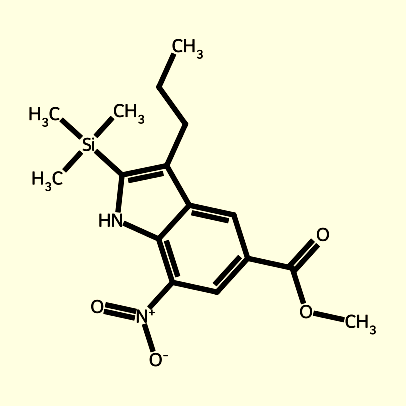 CCCc1c([Si](C)(C)C)[nH]c2c([N+](=O)[O-])cc(C(=O)OC)cc12